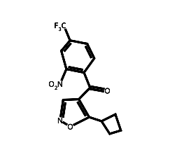 O=C(c1ccc(C(F)(F)F)cc1[N+](=O)[O-])c1cnoc1C1CCC1